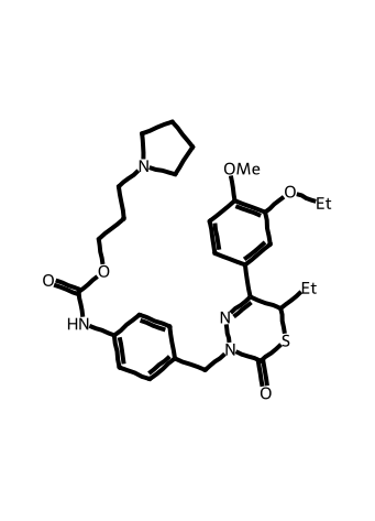 CCOc1cc(C2=NN(Cc3ccc(NC(=O)OCCCN4CCCC4)cc3)C(=O)SC2CC)ccc1OC